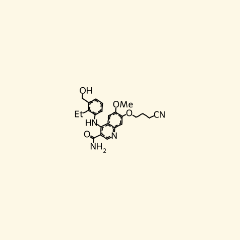 CCc1c(CO)cccc1Nc1c(C(N)=O)cnc2cc(OCCCC#N)c(OC)cc12